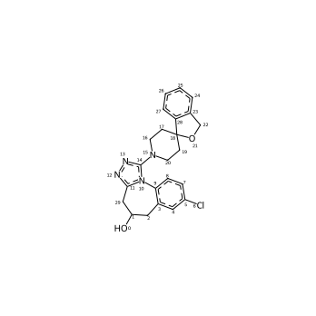 OC1Cc2cc(Cl)ccc2-n2c(nnc2N2CCC3(CC2)OCc2ccccc23)C1